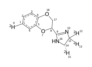 [2H]c1ccc2c(c1)OC(C1=NC([2H])([2H])[C@H]([2H])N1)CO2